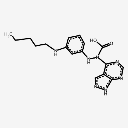 CCCCCNc1cccc(NN(C(=O)O)c2ncnc3[nH]ncc23)c1